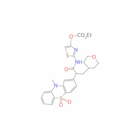 CCOC(=O)Oc1csc(NC(=O)C(CC2CCOCC2)c2ccc3c(c2)N(C)c2ccccc2S3(=O)=O)n1